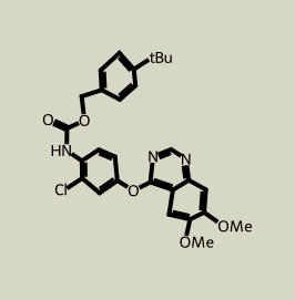 COc1cc2ncnc(Oc3ccc(NC(=O)OCc4ccc(C(C)(C)C)cc4)c(Cl)c3)c2cc1OC